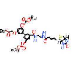 CCCCOC(=O)COc1cc(OCC(=O)OCCCC)cc(-c2cc(COC(=O)OCCCC)cc(C(=O)NCCNC(=O)CCCC[C@@H]3SC[C@@H]4NC(=O)N[C@@H]43)c2)c1